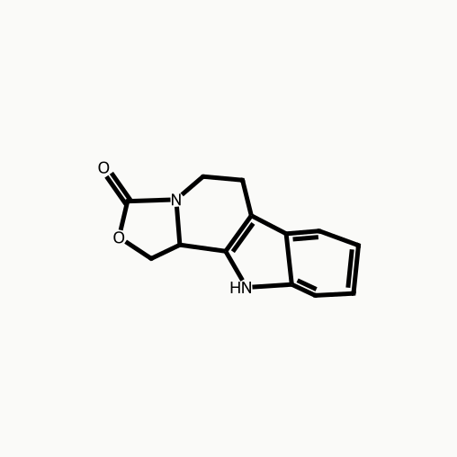 O=C1OCC2c3[nH]c4ccccc4c3CCN12